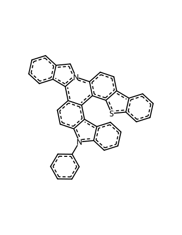 c1ccc(-n2c3ccccc3c3c4c(ccc32)c2c3ccccc3cn2c2ccc3c5ccccc5sc3c42)cc1